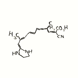 CC(=CC=CC=C(C)C=C(C#N)C(=O)O)C=C1NCCN1